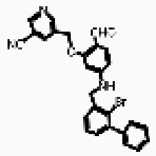 N#Cc1cncc(COc2cc(NCc3cccc(-c4ccccc4)c3Br)ccc2C=O)c1